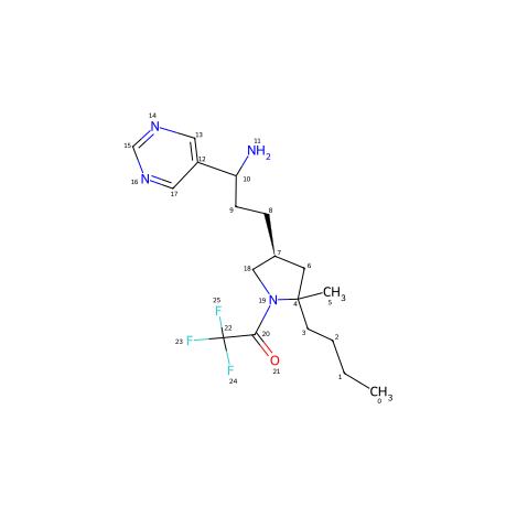 CCCCC1(C)C[C@H](CCC(N)c2cncnc2)CN1C(=O)C(F)(F)F